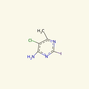 Cc1nc(I)nc(N)c1Cl